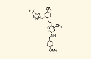 COc1ccc(CNC(=O)CN(C)C(=O)C=Cc2ccc(C(F)(F)F)cc2Cn2nnc(C)n2)cc1